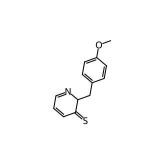 COc1ccc(CC2N=CC=CC2=S)cc1